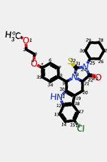 COCCOc1ccc(C2c3[nH]c4ccc(Cl)cc4c3CC3C(=O)N(C4CCCCC4)C(=S)N32)cc1